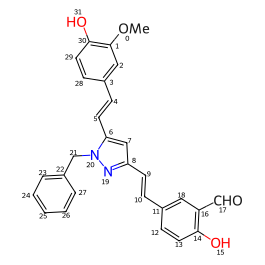 COc1cc(/C=C/c2cc(/C=C/c3ccc(O)c(C=O)c3)nn2Cc2ccccc2)ccc1O